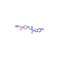 CC(C)(C)CC(=O)N1CCC2(CC1)CC2CNC(=O)N1C=C2C=CNC=C2C1